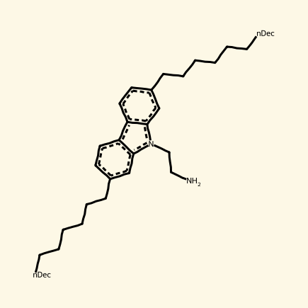 CCCCCCCCCCCCCCCCc1ccc2c3ccc(CCCCCCCCCCCCCCCC)cc3n(CCN)c2c1